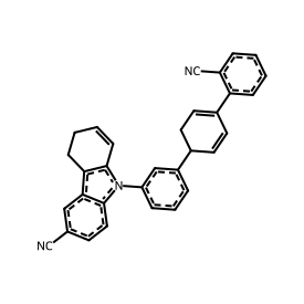 N#Cc1ccc2c(c1)c1c(n2-c2cccc(C3C=CC(c4ccccc4C#N)=CC3)c2)C=CCC1